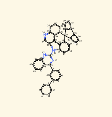 c1ccc(-c2cccc(-c3nc(-n4c5cccc6c5c5c7c(cccc7ncc54)C64c5ccccc5-c5ccccc54)nc4ccccc34)c2)cc1